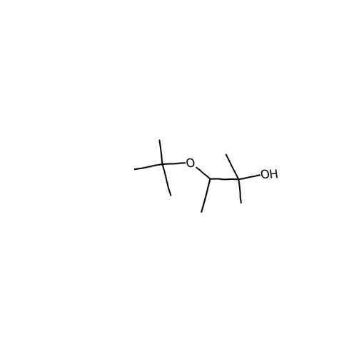 CC(OC(C)(C)C)C(C)(C)O